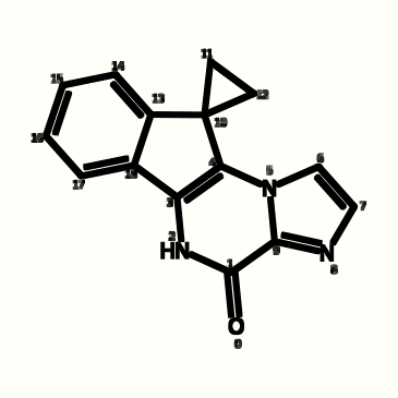 O=c1[nH]c2c(n3ccnc13)C1(CC1)c1ccccc1-2